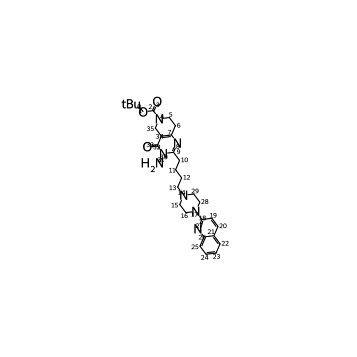 CC(C)(C)OC(=O)N1CCc2nc(CCCCN3CCN(c4ccc5ccccc5n4)CC3)n(N)c(=O)c2C1